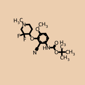 COc1ccc(NC(=O)OC(C)(C)C)c(C#N)c1OC1CCN(C)CC1(F)F